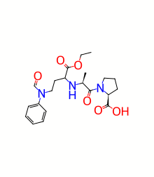 CCOC(=O)C(CCN(C=O)c1ccccc1)N[C@@H](C)C(=O)N1CCC[C@H]1C(=O)O